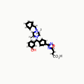 C[C@@H]1CN([C@H](c2ccc(-c3noc(CCC(=O)O)n3)cc2)c2cccc(O)c2)[C@@H](C)CN1Cc1ccccc1